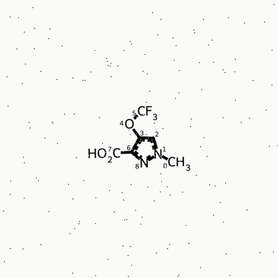 Cn1cc(OC(F)(F)F)c(C(=O)O)n1